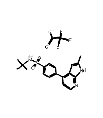 Cc1cc2c(-c3ccc(S(=O)(=O)NC(C)(C)C)cc3)ccnc2[nH]1.O=C(O)C(F)(F)F